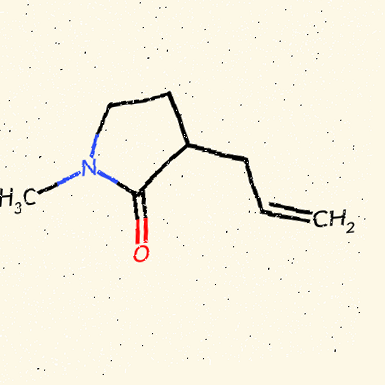 C=CCC1CCN(C)C1=O